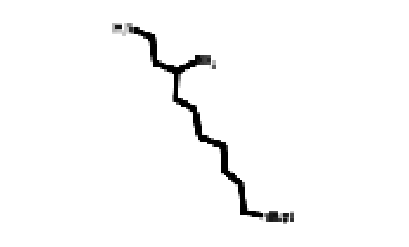 CCCCCCCCCCCCCCC(N)CCN